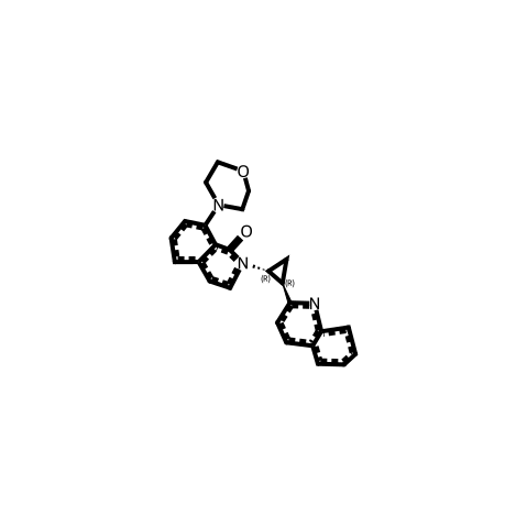 O=c1c2c(N3CCOCC3)cccc2ccn1[C@@H]1C[C@H]1c1ccc2ccccc2n1